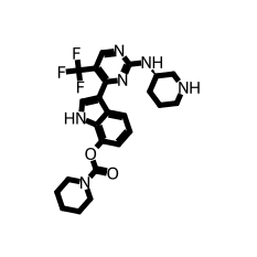 O=C(Oc1cccc2c(-c3nc(N[C@H]4CCCNC4)ncc3C(F)(F)F)c[nH]c12)N1CCCCC1